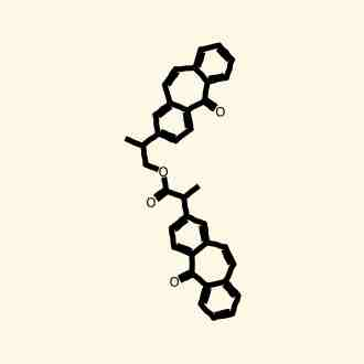 CC(COC(=O)C(C)c1ccc2c(=O)c3ccccc3ccc2c1)c1ccc2c(=O)c3ccccc3ccc2c1